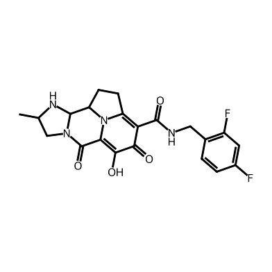 CC1CN2C(=O)c3c(O)c(=O)c(C(=O)NCc4ccc(F)cc4F)c4n3C(CC4)C2N1